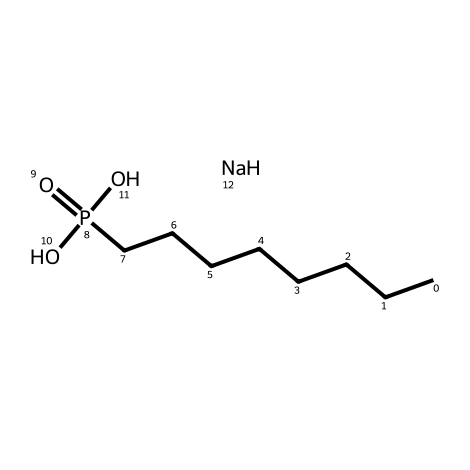 CCCCCCCCP(=O)(O)O.[NaH]